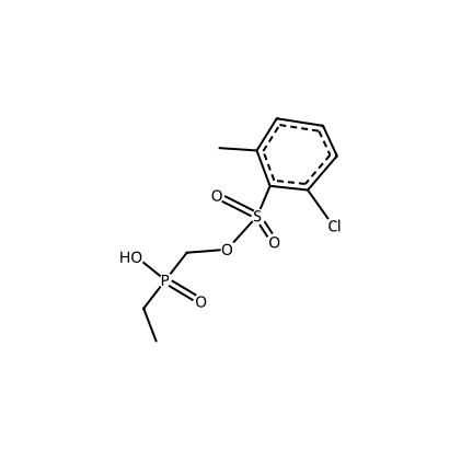 CCP(=O)(O)COS(=O)(=O)c1c(C)cccc1Cl